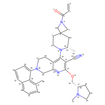 C=CC(=O)N1CC2(CCN(c3c(C#N)c(OC[C@@H]4CCCN4C)nc4c3CCN(c3cccc5cccc(C)c35)C4)[C@@H](C)C2)C1